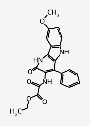 CCOC(=O)C(=O)Nc1c(-c2ccccc2)c2[nH]c3ccc(OC)cc3c2[nH]c1=O